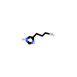 [CH2]CCCc1c[nH]cn1